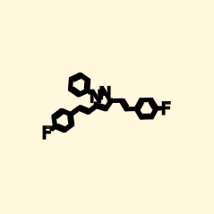 Fc1ccc(C=Cc2cc(C=Cc3ccc(F)cc3)n(-c3ccccc3)n2)cc1